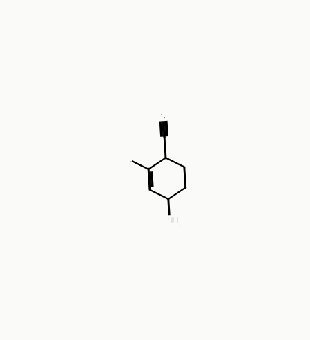 N#CC1CCC(N)C=C1Cl